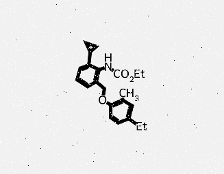 CCOC(=O)Nc1c(COc2ccc(CC)cc2C)cccc1C1CC1